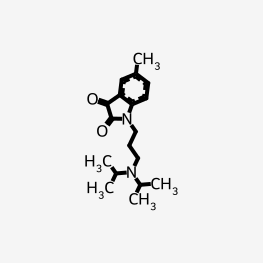 Cc1ccc2c(c1)C(=O)C(=O)N2CCCN(C(C)C)C(C)C